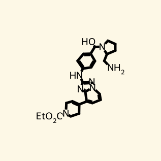 CCOC(=O)N1CC=C(c2cccn3nc(Nc4ccc(C(O)N5CCCC5CN)cc4)nc23)CC1